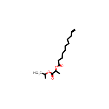 C=CCCCCCCCCC(=O)OC(C)C(=O)OC(C)C(=O)O